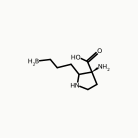 BCCCC1NCC[C@@]1(N)C(=O)O